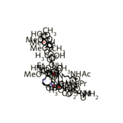 CCN[C@H]1CO[C@@H](O[C@H]2[C@H](O[C@H]3C#C/C=C/C#C[C@]4(O)CC(=O)C(NC(=O)OC)=C3/C4=C\CSSC(C)(C)[C@H](NC(=O)[C@H](CCCNC(N)=O)NC(=O)[C@@H](NC(=O)[C@H](CCCCNC(=O)OC(C)(C)C)NC(C)=O)C(C)C)C(=O)O)O[C@H](C)[C@@H](NO[C@H]3C[C@H](O)[C@H](SC(=O)c4c(C)c(I)c(O[C@@H]5O[C@@H](C)[C@H](O)[C@@H](OC)[C@H]5O)c(OC)c4OC)[C@@H](C)O3)[C@@H]2O)C[C@@H]1OC